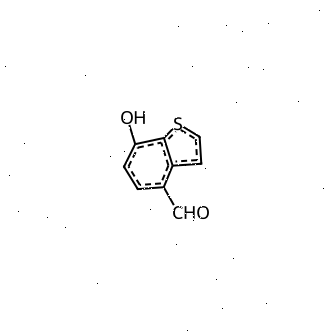 O=Cc1ccc(O)c2sccc12